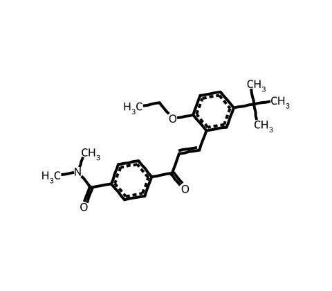 CCOc1ccc(C(C)(C)C)cc1C=CC(=O)c1ccc(C(=O)N(C)C)cc1